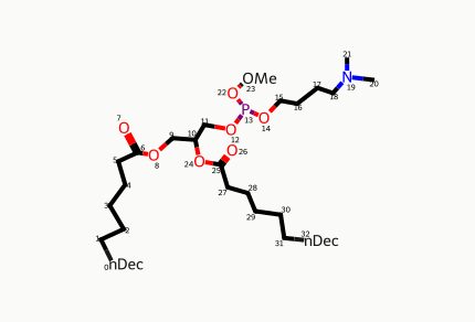 CCCCCCCCCCCCCCCC(=O)OCC(COP(OCCCCN(C)C)OOC)OC(=O)CCCCCCCCCCCCCCC